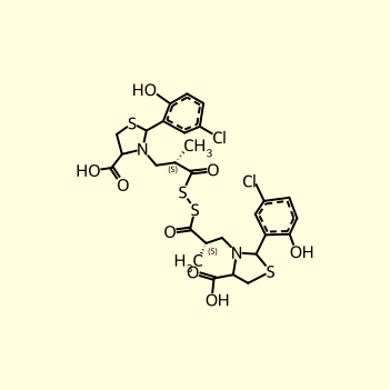 C[C@@H](CN1C(C(=O)O)CSC1c1cc(Cl)ccc1O)C(=O)SSC(=O)[C@@H](C)CN1C(C(=O)O)CSC1c1cc(Cl)ccc1O